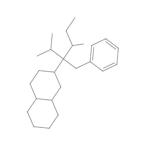 CCC(C)C(Cc1ccccc1)(C(C)C)C1CCC2CCCCC2C1